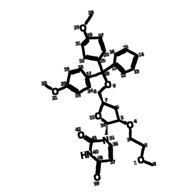 COCCO[C@@H]1[CH][C@H](COC(c2ccccc2)(c2ccc(OC)cc2)c2ccc(OC)cc2)O[C@H]1n1ccc(=O)[nH]c1=O